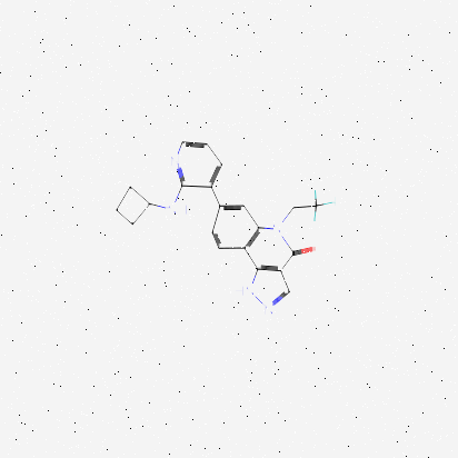 O=c1c2cn[nH]c2c2ccc(-c3cccnc3NC3CCC3)cc2n1CC(F)(F)F